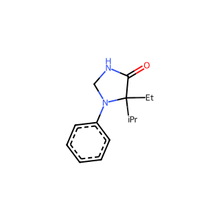 CCC1(C(C)C)C(=O)NCN1c1ccccc1